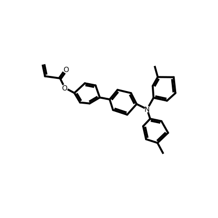 C=CC(=O)Oc1ccc(-c2ccc(N(c3ccc(C)cc3)c3cccc(C)c3)cc2)cc1